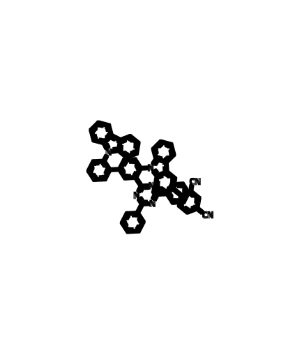 N#Cc1ccc(-c2ccc3c(c2)c2ccccc2n3-c2ccc(-c3ccccc3-n3c4ccccc4c4ccccc43)cc2-c2nc(-c3ccccc3)nc(-c3ccccc3)n2)c(C#N)c1